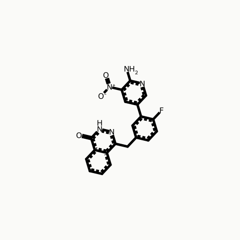 Nc1ncc(-c2cc(Cc3n[nH]c(=O)c4ccccc34)ccc2F)cc1[N+](=O)[O-]